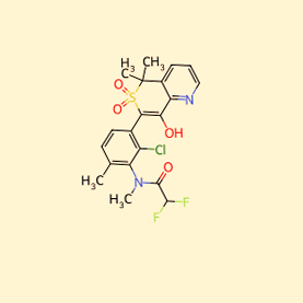 Cc1ccc(C2=C(O)c3ncccc3C(C)(C)S2(=O)=O)c(Cl)c1N(C)C(=O)C(F)F